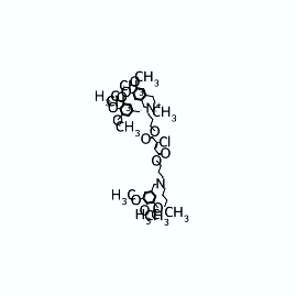 CCCCCN(CCCOC(=O)/C=C(\Cl)C(=O)OCCC[N@+]1(C)CCc2cc(OC)c(OC)cc2[C@H]1Cc1cc(OC)c(OC)c(OC)c1)Cc1cc(OC)c(OC)c(OC)c1